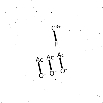 CC(=O)[O-].CC(=O)[O-].CC(=O)[O-].[C+3]F